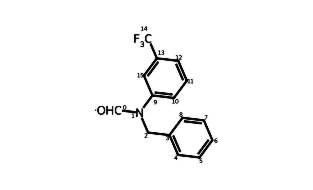 O=[C]N(Cc1ccccc1)c1cccc(C(F)(F)F)c1